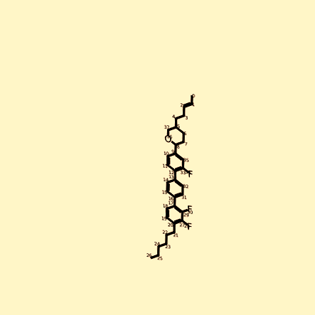 C/C=C/CCC1CCC(c2ccc(-c3ccc(-c4ccc(CCCCCC)c(F)c4F)cc3)c(F)c2)OC1